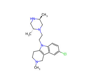 C[C@@H]1CN[C@@H](C)CN1CCn1c2c(c3cc(Cl)ccc31)CN(C)CC2